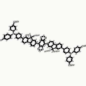 CCCCCCC1(CCCCCC)c2cc(-c3ccc(N(c4ccc(OC)cc4)c4ccc(OC)cc4)cc3)ccc2-c2ccc(-c3c4c(c(-c5ccc6c(c5)C(CCCCCC)(CCCCCC)c5cc(-c7ccc(N(c8ccc(OC)cc8)c8ccc(OC)cc8)cc7)ccc5-6)c5nsnc35)N=S=N4)cc21